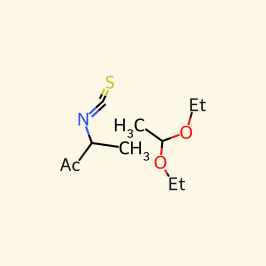 CC(=O)C(C)N=C=S.CCOC(C)OCC